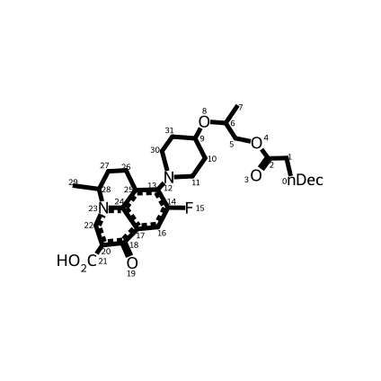 CCCCCCCCCCCC(=O)OCC(C)OC1CCN(c2c(F)cc3c(=O)c(C(=O)O)cn4c3c2CCC4C)CC1